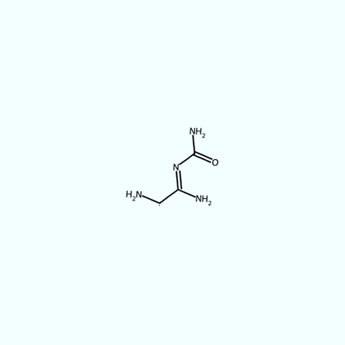 N[CH]C(N)=NC(N)=O